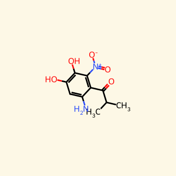 CC(C)C(=O)c1c(N)cc(O)c(O)c1[N+](=O)[O-]